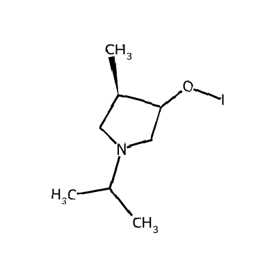 CC(C)N1CC(OI)[C@H](C)C1